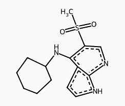 CS(=O)(=O)c1cnc2[nH]ccc2c1NC1CCCCC1